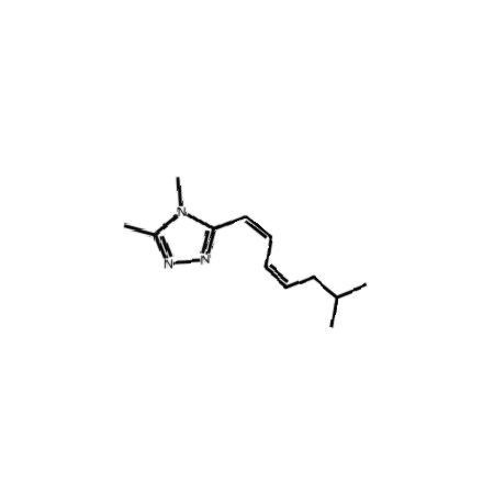 Cc1nnc(/C=C\C=C/CC(C)C)n1C